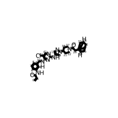 C=CC(=O)Nc1cccc(CNc2nc(Nc3cnn(C4CCN(C(=O)CC5C6CC7C[C@H](C6)C[C@H]5C7)CC4)c3)ncc2Cl)c1